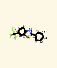 FC(F)(F)c1ccc2nc(-c3ccccc3)sc2c1